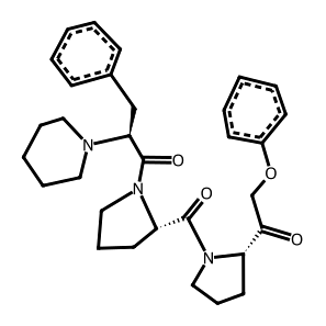 O=C(COc1ccccc1)[C@@H]1CCCN1C(=O)[C@@H]1CCCN1C(=O)[C@H](Cc1ccccc1)N1CCCCC1